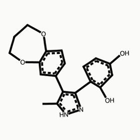 Cc1[nH]nc(-c2ccc(O)cc2O)c1-c1ccc2c(c1)OCCCO2